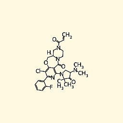 C=CC(=O)N1CCN2C(=O)c3c(N4CC(N(C)C)C(=O)C4(C)C)nc(-c4ccccc4F)c(Cl)c3OC[C@H]2C1